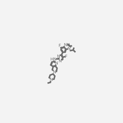 C=C(C)N(CC(C)C)c1cc(-c2nc(Nc3ccc4c(n3)CCN(C3CCN(CC)CC3)C4)ncc2F)cc(F)c1N